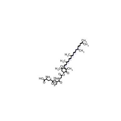 CC(C)=C/C=C/C(C)=C/C=C/C=C(C)/C=C/C=C(C)/C=C/C1=C(C)C(=O)C(OC(=O)CNC(=O)C(CS)NC(=O)CCC(N)C(=O)O)CC1(C)C